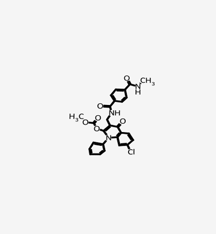 CNC(=O)c1ccc(C(=O)NCc2c(OC(=O)OC)n(-c3ccccc3)c3cc(Cl)ccc3c2=O)cc1